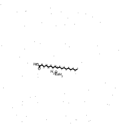 CCCCCCCCCCCCCCCCCC(=O)O.O.[CaH2]